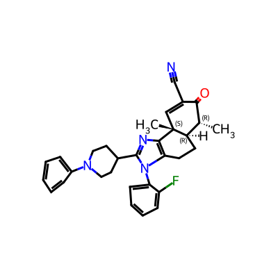 C[C@H]1C(=O)C(C#N)=C[C@@]2(C)c3nc(C4CCN(c5ccccc5)CC4)n(-c4ccccc4F)c3CC[C@H]12